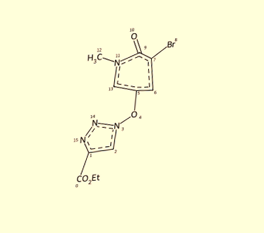 CCOC(=O)c1cn(Oc2cc(Br)c(=O)n(C)c2)nn1